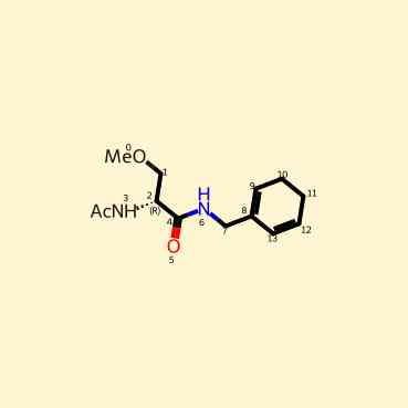 COC[C@@H](NC(C)=O)C(=O)NCC1=CCCC=C1